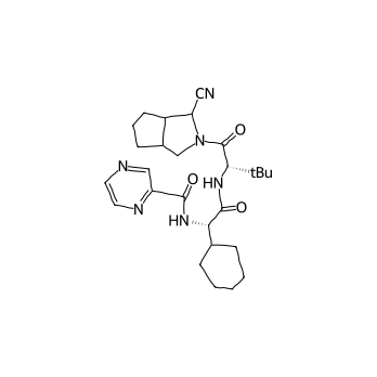 CC(C)(C)[C@H](NC(=O)[C@@H](NC(=O)c1cnccn1)C1CCCCC1)C(=O)N1CC2CCCC2C1C#N